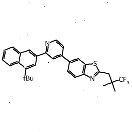 CC(C)(C)c1cc(-c2cc(-c3ccc4nc(CC(C)(C)C(F)(F)F)sc4c3)ccn2)cc2ccccc12